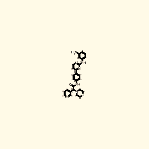 Nc1cccc(Nc2nccc(-c3ccc(NC(=O)C(c4cccnc4)N4CCOCC4)cc3)n2)c1